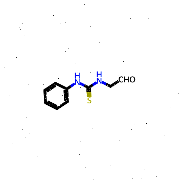 O=CCNC(=S)Nc1ccccc1